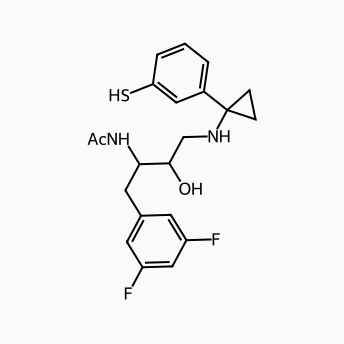 CC(=O)NC(Cc1cc(F)cc(F)c1)C(O)CNC1(c2cccc(S)c2)CC1